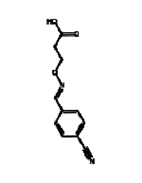 N#Cc1ccc(C=NOCCC(=O)O)cc1